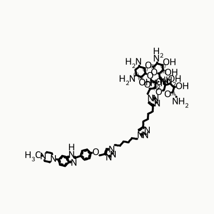 CN1CCN(c2ccc3nc(-c4ccc(OCc5cn(CCCCCCn6cc(CCCCc7cn(CC8OC(OC9[C@H](O[C@H]%10OC(CN)[C@@H](O)[C@H](O)C%10N)C(N)C[C@@H](N)[C@H]9O)[C@@H](O)[C@H]8OC8O[C@@H](CN)C(O)C(O)C8N)nn7)nn6)nn5)cc4)[nH]c3c2)CC1